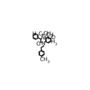 Cc1ccc(CCN(C(=O)C(NC(C)C)c2ccccc2)c2ccc(C)c(C)c2)cc1